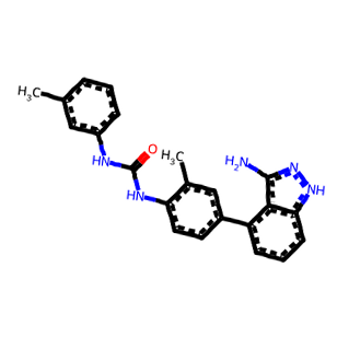 Cc1cccc(NC(=O)Nc2ccc(-c3cccc4[nH]nc(N)c34)cc2C)c1